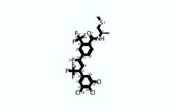 CSC[C@@H](C)NC(=O)c1ccc(/C(F)=C/C(c2cc(Cl)c(Cl)c(Cl)c2)C(F)(F)F)cc1C(F)(F)F